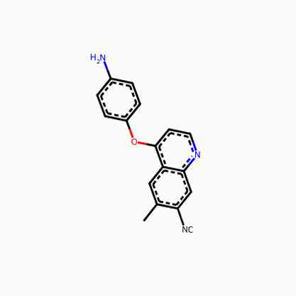 [C-]#[N+]c1cc2nccc(Oc3ccc(N)cc3)c2cc1C